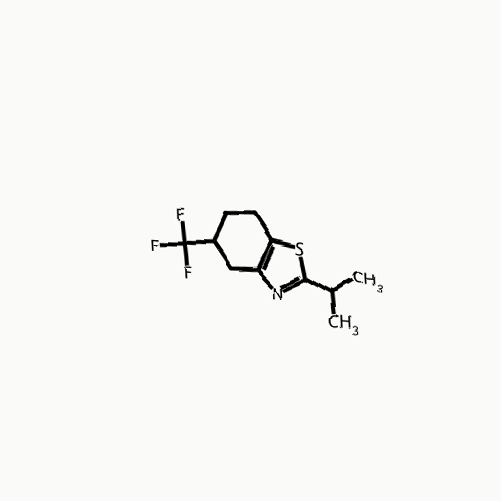 CC(C)c1nc2c(s1)CCC(C(F)(F)F)C2